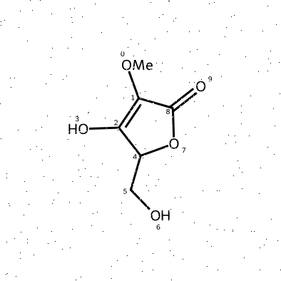 COC1=C(O)C(CO)OC1=O